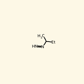 CCC(C)N=N